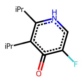 CC(C)c1[nH]cc(F)c(=O)c1C(C)C